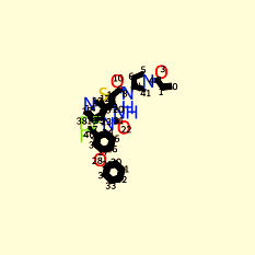 C=CC(=O)N1CC[C@@H](NC(=O)c2sc3nccc4c3c2NC(=O)N4c2ccc(Oc3ccccc3)cc2C(F)(F)F)C1